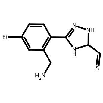 CCc1ccc(C2=NNC(C=S)N2)c(CN)c1